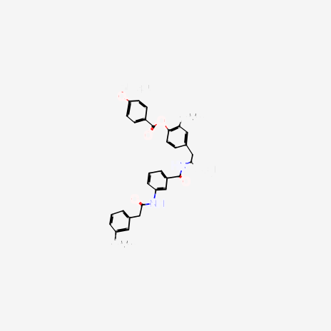 CCCCCCCOc1ccc(C(=O)Oc2ccc(CC(NC(=O)c3cccc(NC(=O)Cc4cccc(OC)c4)c3)C(=O)O)cc2OC)cc1